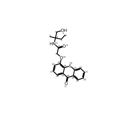 CCC(C)(CO)NC(=O)COc1cccc2c(=O)c3ccccc3sc12